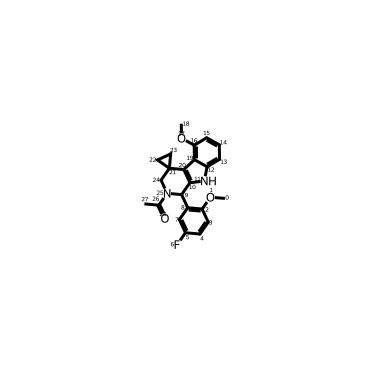 COc1ccc(F)cc1C1c2[nH]c3cccc(OC)c3c2C2(CC2)CN1C(C)=O